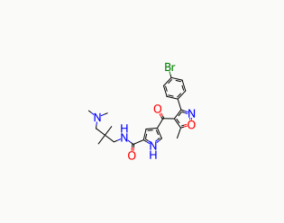 Cc1onc(-c2ccc(Br)cc2)c1C(=O)c1c[nH]c(C(=O)NCC(C)(C)CN(C)C)c1